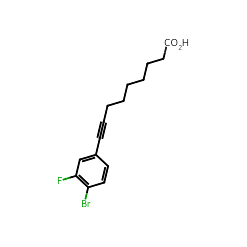 O=C(O)CCCCCCC#Cc1ccc(Br)c(F)c1